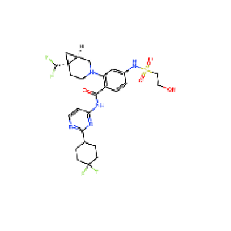 O=C(Nc1ccnc(C2CCC(F)(F)CC2)n1)c1ccc(NS(=O)(=O)CCO)cc1N1CC[C@@]2(C(F)F)C[C@H]2C1